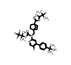 CC(C)(O)c1ccc(-c2cc(N(CC34CCC(c5noc(C(C)(C)F)n5)(CC3)C4)C(=O)OC(C)(C)C(F)(F)F)ncc2F)cc1